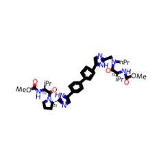 CCCN(Cc1ncc(-c2ccc(-c3ccc(-c4cnc([C@@H]5CCCN5C(=O)[C@@H](NC(=O)OC)C(C)C)[nH]4)cc3)cc2)[nH]1)C(=O)[C@@H](NC(=O)OC)C(C)C